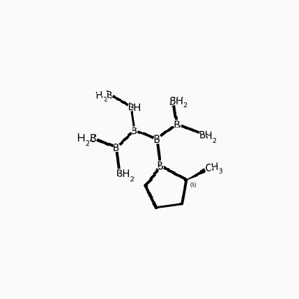 BBB(B(B)B)B(B(B)B)B1CCC[C@@H]1C